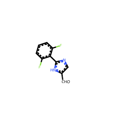 O=Cc1cnc(-c2c(F)cccc2F)[nH]1